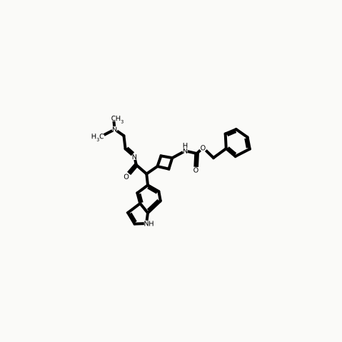 CN(C)CC=NC(=O)C(c1ccc2[nH]ccc2c1)C1CC(NC(=O)OCc2ccccc2)C1